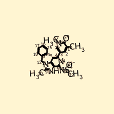 Cc1cc(-c2cc3c(nc(C)n3Cc3ccccc3)c(N[S@+](C)[O-])n2)cn(C)c1=O